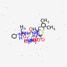 Cc1cc(C)c(CSC[C@H](NC(=O)[C@H](CC(N)=O)NC(=O)[C@H](CCC(N)=O)NC(=O)[C@H](C)NCc2ccccc2)C(=O)O)c(C)c1